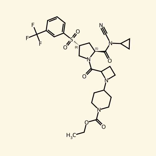 CCOC(=O)N1CCC(N2CCC2C(=O)N2C[C@H](S(=O)(=O)c3cccc(C(F)(F)F)c3)C[C@H]2C(=O)N(C#N)C2CC2)CC1